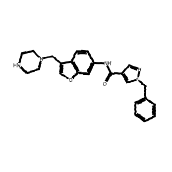 O=C(Nc1ccc2c(CN3CCNCC3)coc2c1)c1cnn(Cc2ccccc2)c1